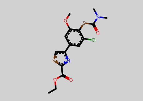 CCOC(=O)c1nc(-c2cc(Cl)c(SC(=O)N(C)C)c(OC)c2)cs1